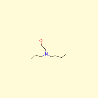 CCCCN(CCC)CC[O]